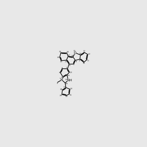 CN1c2ccc(-c3cc4c5ccccc5oc4c4ccccc34)cc2NC1c1ccccc1